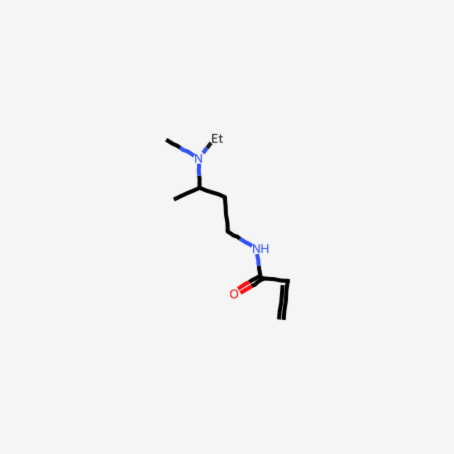 C=CC(=O)NCCC(C)N(C)CC